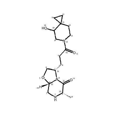 C[C@@H]1NC[C@@H]2OC[C@H](CCC(=O)N3CCC4(CC4)C(O)C3)N2C1=O